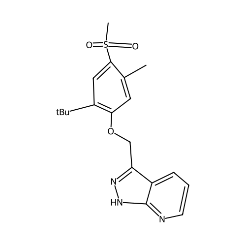 Cc1cc(OCc2n[nH]c3ncccc23)c(C(C)(C)C)cc1S(C)(=O)=O